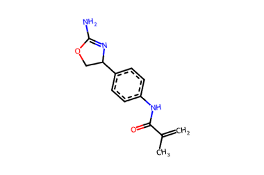 C=C(C)C(=O)Nc1ccc(C2COC(N)=N2)cc1